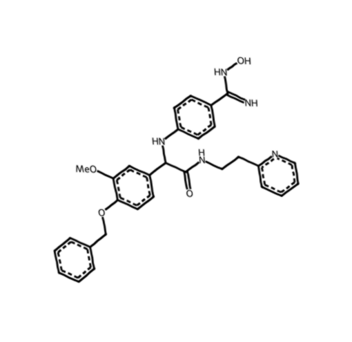 COc1cc(C(Nc2ccc(C(=N)NO)cc2)C(=O)NCCc2ccccn2)ccc1OCc1ccccc1